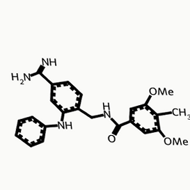 COc1cc(C(=O)NCc2ccc(C(=N)N)cc2Nc2ccccc2)cc(OC)c1C